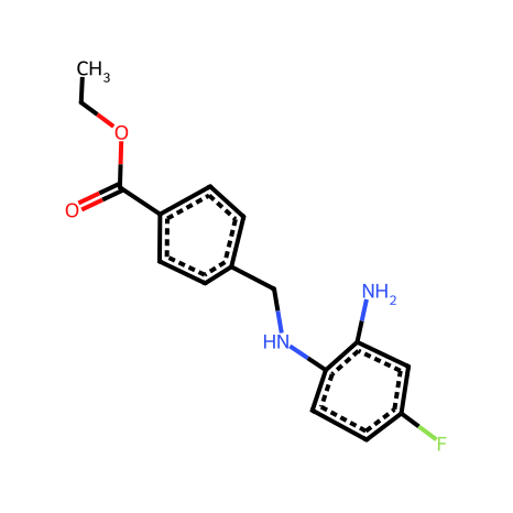 CCOC(=O)c1ccc(CNc2ccc(F)cc2N)cc1